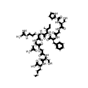 CC[C@H](C)[C@H](NC(=O)[C@H](Cc1ccccc1)NC(=O)CNC(=O)[C@H](CO)NC(=O)[C@@H]1CCCN1)C(=O)N[C@@H](CCCNC(=N)N)C(=O)N[C@@H](CC(N)=O)C(=O)NCC(=O)N[C@@H](CO)C(=O)N[C@@H](CCSC)C(=O)O